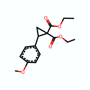 CCOC(=O)C1(C(=O)OCC)CC1c1ccc(OC)cc1